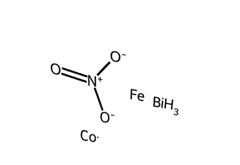 O=[N+]([O-])[O-].[BiH3].[Co].[Fe]